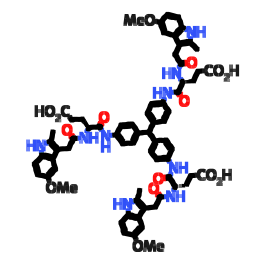 COc1ccc2[nH]c(C)c(CC(=O)N[C@@H](CCC(=O)O)C(=O)Nc3ccc(C(c4ccc(NC(=O)[C@H](CCC(=O)O)NC(=O)Cc5c(C)[nH]c6ccc(OC)cc56)cc4)c4ccc(NC(=O)[C@H](CCC(=O)O)NC(=O)Cc5c(C)[nH]c6ccc(OC)cc56)cc4)cc3)c2c1